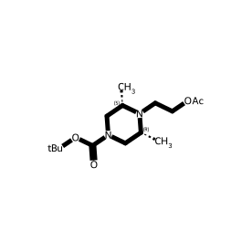 CC(=O)OCCN1[C@H](C)CN(C(=O)OC(C)(C)C)C[C@@H]1C